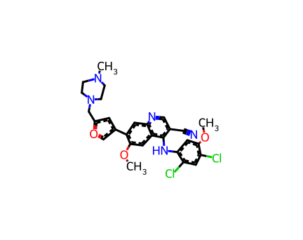 COc1cc(Nc2c(C#N)cnc3cc(-c4coc(CN5CCN(C)CC5)c4)c(OC)cc23)c(Cl)cc1Cl